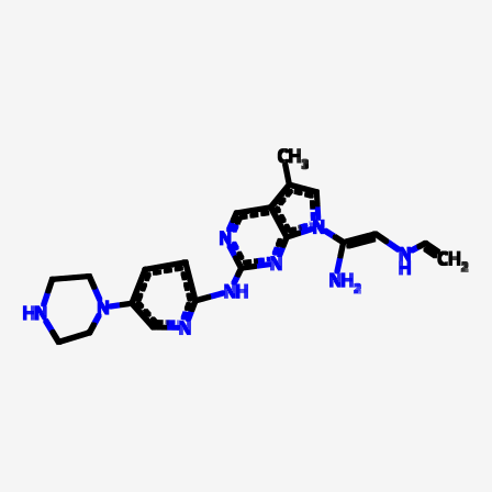 C=CN/C=C(\N)n1cc(C)c2cnc(Nc3ccc(N4CCNCC4)cn3)nc21